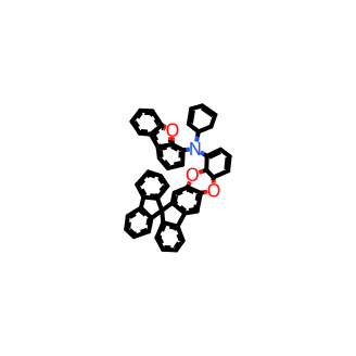 C1=CCC(N(C2=CC=CC3Oc4cc5c(cc4OC23)C2(c3ccccc3-c3ccccc32)c2ccccc2-5)c2cccc3c2oc2ccccc23)C=C1